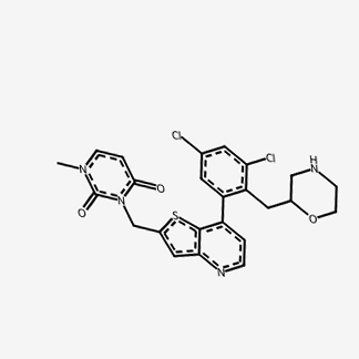 Cn1ccc(=O)n(Cc2cc3nccc(-c4cc(Cl)cc(Cl)c4CC4CNCCO4)c3s2)c1=O